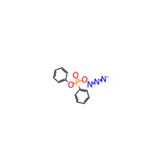 [N-]=[N+]=NOP(=O)(Oc1ccccc1)c1ccccc1